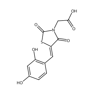 O=C(O)CN1C(=O)SC(=Cc2ccc(O)cc2O)C1=O